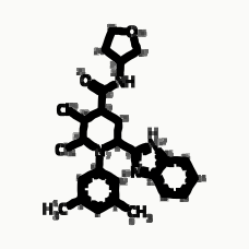 Cc1cc(C)cc(N2C(c3nc4ccccc4[nH]3)CC(C(=O)NC3CCOC3)C(Cl)C2Cl)c1